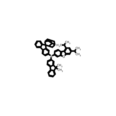 CC(C)c1cc(C(C)C)c2c(c1)oc1cc(N(c3ccc4c(c3)C(C)(C)c3ccccc3-4)c3ccc4c(c3)C3(c5ccccc5-4)C4CC5CC(C4)CC3C5)ccc12